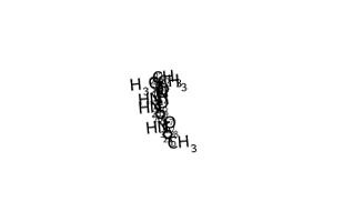 Cc1ccc(NC(=O)c2ccc(NC(=O)Nc3cc(C(C)(C)C)on3)cc2)cc1